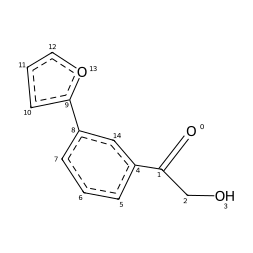 O=C(CO)c1cccc(-c2ccco2)c1